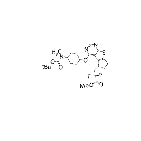 COC(=O)C(F)(F)C[C@H]1CCc2sc3ncnc(OC4CCC(N(C)C(=O)OC(C)(C)C)CC4)c3c21